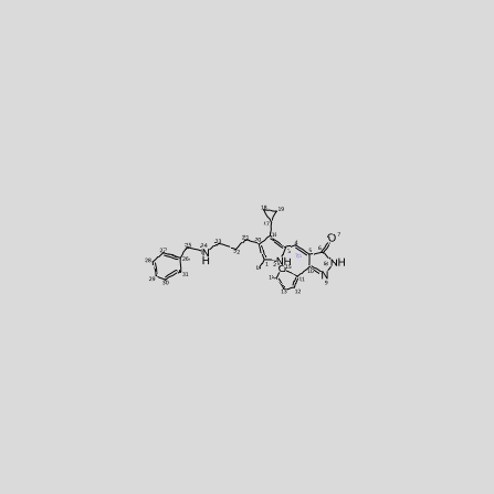 Cc1[nH]c(/C=C2/C(=O)NN=C2c2ccco2)c(C2CC2)c1CCCNCc1ccccc1